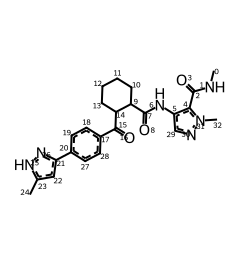 CNC(=O)c1c(NC(=O)C2CCCCC2C(=O)c2ccc(-c3cc(C)[nH]n3)cc2)cnn1C